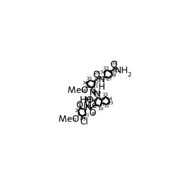 COc1cc(OC)c(NC(=O)c2cc3ccccc3c(N=Nc3cc(C(=O)Nc4ccc(C(N)=O)cc4)ccc3OC)c2O)cc1Cl